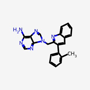 Cc1ccccc1-c1cc2ccccc2nc1Cn1cnc2c(N)ncnc21